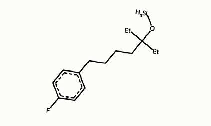 CCC(CC)(CCCCc1ccc(F)cc1)O[SiH3]